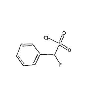 O=S(=O)(Cl)C(F)c1ccccc1